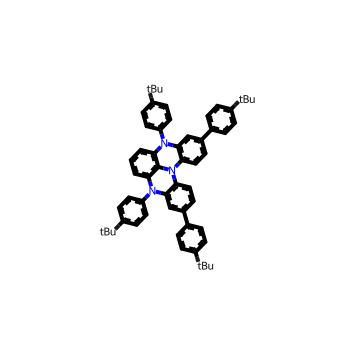 CC(C)(C)c1ccc(-c2ccc3c(c2)N(c2ccc(C(C)(C)C)cc2)c2cccc4c2N3c2ccc(-c3ccc(C(C)(C)C)cc3)cc2N4c2ccc(C(C)(C)C)cc2)cc1